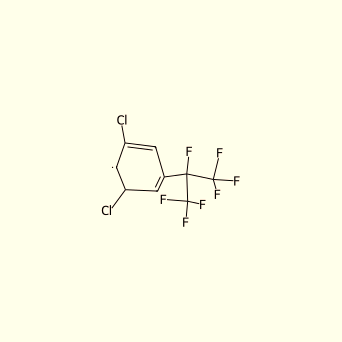 FC(F)(F)C(F)(C1=CC(Cl)[CH]C(Cl)=C1)C(F)(F)F